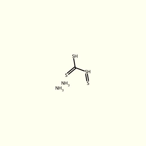 N.N.S=[SH]C(=S)S